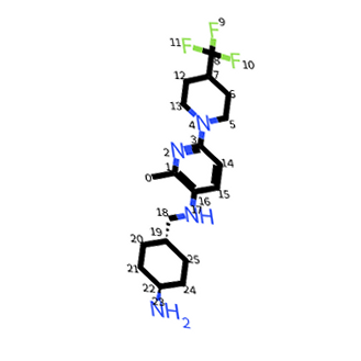 Cc1nc(N2CCC(C(F)(F)F)CC2)ccc1NC[C@H]1CC[C@H](N)CC1